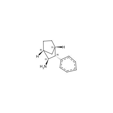 N[C@H]1[C@@H]2CC[C@@H](C2)[C@@H]1c1ccccc1